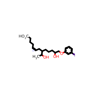 CC(O)C(C/C=C\CCCC(=O)O)CCCC(O)COc1cccc(I)c1